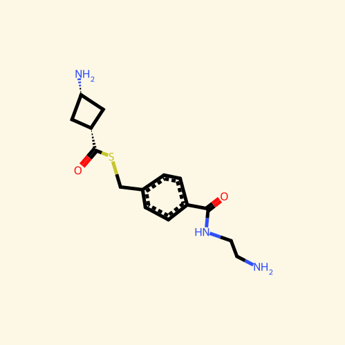 NCCNC(=O)c1ccc(CSC(=O)[C@H]2C[C@@H](N)C2)cc1